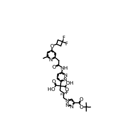 Cc1cc(OC2CC(F)(F)C2)cc(CC(=O)Nc2ccc(C(C[C@@H](F)Cn3cc(C(=O)OC(C)(C)C)nn3)(C(=O)O)C(=O)O)nn2)n1